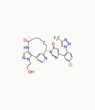 C[C@@H]1CCCC[C@H](n2cnc(-c3cc(Cl)ccc3-n3cc(C(F)(F)F)nn3)cc2=O)c2cc(ccn2)-c2c(cnn2CCO)NC1=O